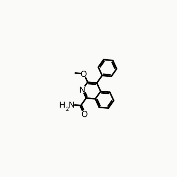 COc1nc(C(N)=O)c2ccccc2c1-c1ccccc1